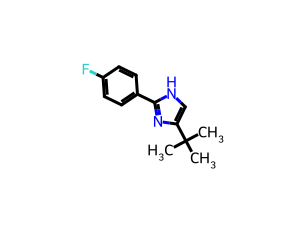 CC(C)(C)c1c[nH]c(-c2ccc(F)cc2)n1